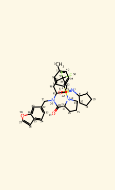 Cc1ccc(S(=O)(=NC2CCCC2)N2CCC[C@H]2C(=O)N(Cc2ccc3ccoc3c2)C2CCC(F)(F)CC2)cc1